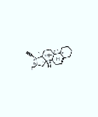 C#C[C@@H]1[C@H](F)C[C@H]2[C@@H]3CC=C4CCCC[C@]4(C)[C@H]3CC[C@]12C